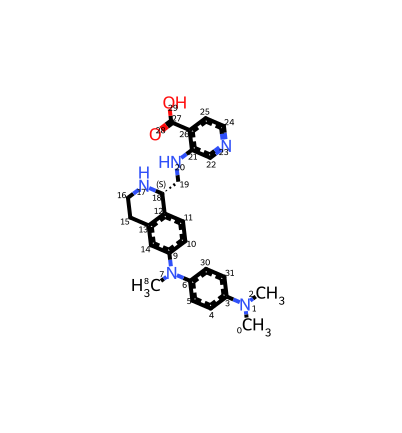 CN(C)c1ccc(N(C)c2ccc3c(c2)CCN[C@@H]3CNc2cnccc2C(=O)O)cc1